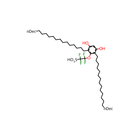 CCCCCCCCCCCCCCCCCCCCCCCCc1c(O)cc(O)c(CCCCCCCCCCCCCCCCCCCCCCCC)c1OC(F)(F)C(F)(F)S(=O)(=O)O